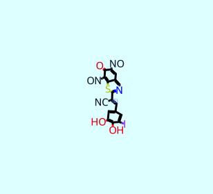 N#C/C(=C\c1cc(O)c(O)c(I)c1)c1ncc2cc(N=O)c(=O)c(N=O)c-2s1